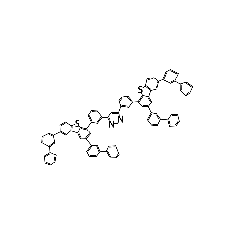 c1ccc(-c2cccc(-c3ccc4sc5c(-c6cccc(-c7cc(-c8cccc(-c9cc(-c%10cccc(-c%11ccccc%11)c%10)cc%10c9sc9ccc(-c%11cccc(-c%12ccccc%12)c%11)cc9%10)c8)ncn7)c6)cc(-c6cccc(-c7ccccc7)c6)cc5c4c3)c2)cc1